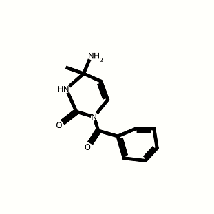 CC1(N)C=CN(C(=O)c2ccccc2)C(=O)N1